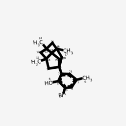 Cc1cc(Br)c(O)c(C23CC4(C)CC5(C)CC(C)(C2)C45C3)c1